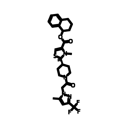 Cc1cc(C(F)(F)F)nn1CC(=O)N1CCC([C@H]2SC=C(C(=O)OC3CCCc4ccccc43)N2C)CC1